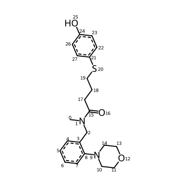 CN(Cc1ccccc1N1CCOCC1)C(=O)CCCSc1ccc(O)cc1